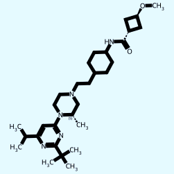 CO[C@H]1C[C@H](C(=O)NC2CCC(CCN3CCN(c4cc(C(C)C)nc(C(C)(C)C)n4)[C@@H](C)C3)CC2)C1